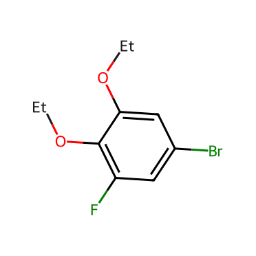 CCOc1cc(Br)cc(F)c1OCC